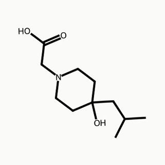 CC(C)CC1(O)CCN(CC(=O)O)CC1